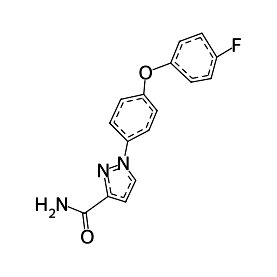 NC(=O)c1ccn(-c2ccc(Oc3ccc(F)cc3)cc2)n1